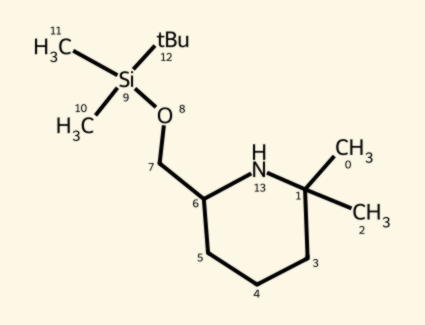 CC1(C)CCCC(CO[Si](C)(C)C(C)(C)C)N1